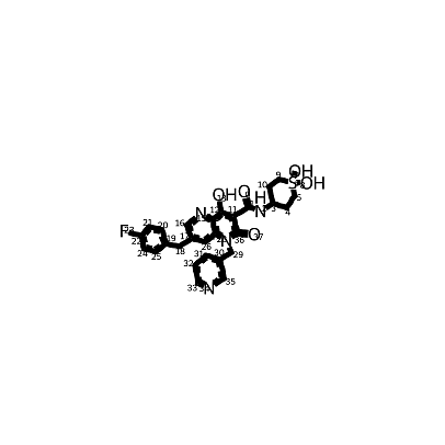 O=C(NC1CCS(O)(O)CC1)c1c(O)c2ncc(Cc3ccc(F)cc3)cc2n(Cc2cccnc2)c1=O